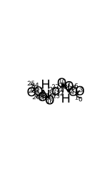 C=CC(=O)OC(C)ONC(=O)c1ccc(C(=O)NOC(C)OC(=O)C=C)cc1